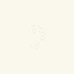 CNc1cnc(Nc2ccc(C(=O)Nc3cc(CN4CCOCC4)ccc3C)cc2)nc1-c1ccc(OC(F)(F)F)cc1